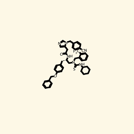 N#Cc1ccc(Cn2cncc2CC(=O)N[C@@H](Cc2ccc(OCc3ccccc3)cc2)CN(Cc2ccccc2C(F)(F)F)C(=S)NC2CCCCC2)cc1